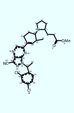 COC(=O)CCC1CCCN1C1CCC(c2cnc3c(C#N)nn(C(C)c4ccc(Cl)cc4Cl)c3n2)=CC1C